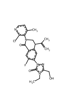 C=C(C)C1CN(c2c(C)ccnc2Cl)C(=O)c2cc(F)c(-n3nc(CO)n(CC)c3=O)cc21